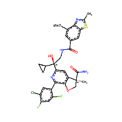 COc1cc(C(=O)NC[C@](O)(c2cc3c(c(-c4cc(Cl)c(F)cc4F)n2)OC[C@]3(C)C(N)=O)C2CC2)cc2sc(C)nc12